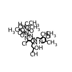 C#CC(O)Cc1nn(Cc2ncc(C)c(OC)c2C)c2nc(N(C(=O)OC(C)(C)C)C(=O)OC(C)(C)C)nc(Cl)c12